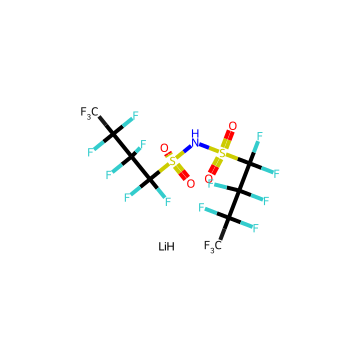 O=S(=O)(NS(=O)(=O)C(F)(F)C(F)(F)C(F)(F)C(F)(F)F)C(F)(F)C(F)(F)C(F)(F)C(F)(F)F.[LiH]